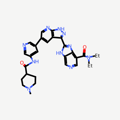 CCN(CC)C(=O)c1cncc2[nH]c(-c3n[nH]c4ncc(-c5cncc(NC(=O)C6CCN(C)CC6)c5)cc34)nc12